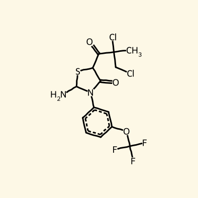 CC(Cl)(CCl)C(=O)C1SC(N)N(c2cccc(OC(F)(F)F)c2)C1=O